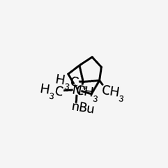 CCCC[N+]1(C)CC2CCC(C)(C1)C2(C)C